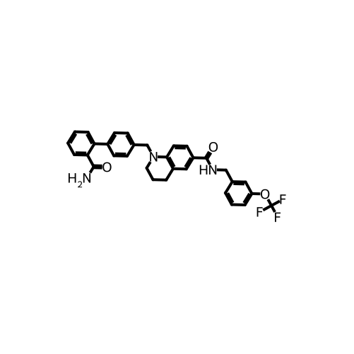 NC(=O)c1ccccc1-c1ccc(CN2CCCc3cc(C(=O)NCc4cccc(OC(F)(F)F)c4)ccc32)cc1